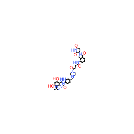 CC(C)c1cc(C(=N)N(C(N)=O)c2ccc(CN3CCN(C(=O)CCC(=O)Nc4cccc5c4CN(C4CCC(=O)NC4=O)C5=O)CC3)cc2)c(O)cc1O